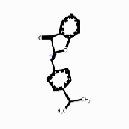 CC(C)c1ccc(/C=C2\Oc3ccccc3C2=O)cc1